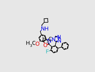 COc1cc(CNCC2CCC2)cc2nc(-c3c(F)ccc(-c4ccccc4)c3-c3nncn3C)oc12